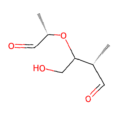 C[C@H](C=O)C(CO)O[C@@H](C)C=O